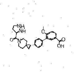 COc1ccc(C(=O)O)cc1-c1ccc([C@@H]2CC23CCN(C(=O)C2CCNN2)CC3)cc1